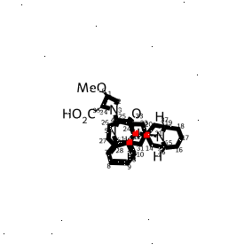 CO[C@H]1CN(c2nc3ccccc3n(C3C[C@H]4CCC[C@H](C3)N4[C@@H]3CC4CCCC[C@@H](C4)C3)c2=O)[C@@H]1C(=O)O